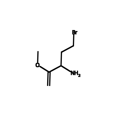 C=C(OC)C(N)CCBr